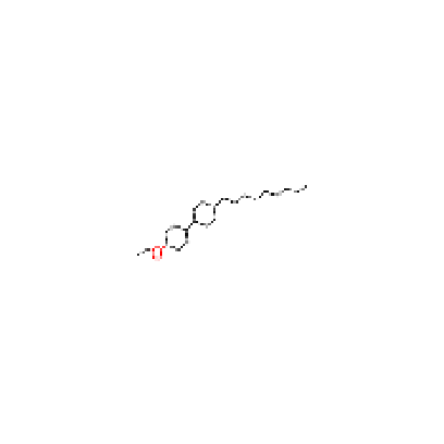 CCCCCCCCCC1CCC(C2CCC(OCC)CC2)CC1